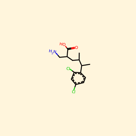 CC(CC(CN)C(=O)O)C(C)c1ccc(Cl)cc1Cl